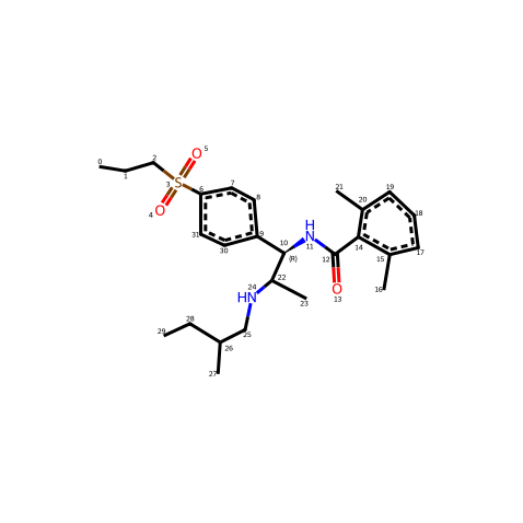 CCCS(=O)(=O)c1ccc([C@@H](NC(=O)c2c(C)cccc2C)C(C)NCC(C)CC)cc1